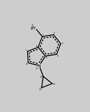 CC(C)c1cccc2c1ccn2C1CC1